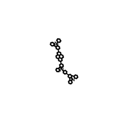 c1ccc(-n2c3ccccc3c3cc(-c4cc5ccc6cc(-c7ccc8c(c7)c7ccccc7n8-c7ccc(-c8cc9c%10ccccc%10n%10c%11ccccc%11c(c8)c9%10)cc7)cc7ccc(c4)c5c67)ccc32)cc1